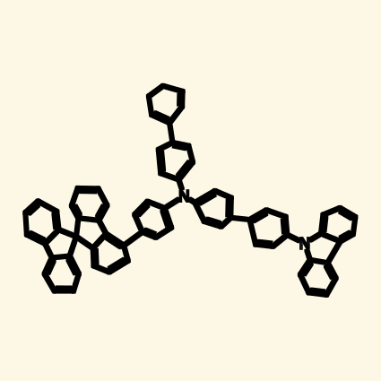 C1=CC(c2ccc(N(c3ccc(-c4ccc(-n5c6ccccc6c6ccccc65)cc4)cc3)c3ccc(-c4cccc5c4-c4ccccc4C54c5ccccc5-c5ccccc54)cc3)cc2)=CCC1